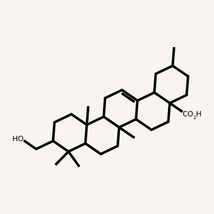 CC1CCC2(C(=O)O)CCC3C(=CCC4C3(C)CCC3C(C)(C)C(CO)CCC34C)C2C1